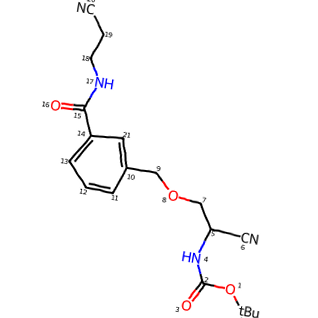 CC(C)(C)OC(=O)NC(C#N)COCc1cccc(C(=O)NCCC#N)c1